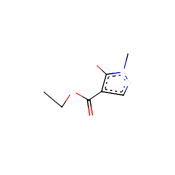 CCOC(=O)c1cnn(C)c1O